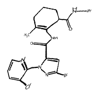 CC1=C(NC(=O)c2cc(Br)nn2-c2ncccc2Cl)C(C(=O)NC(C)C)CCC1